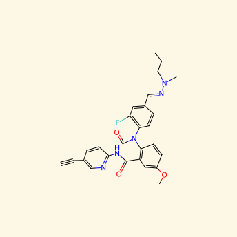 C#Cc1ccc(NC(=O)c2cc(OC)ccc2N(C=O)c2ccc(C=NN(C)CCC)cc2F)nc1